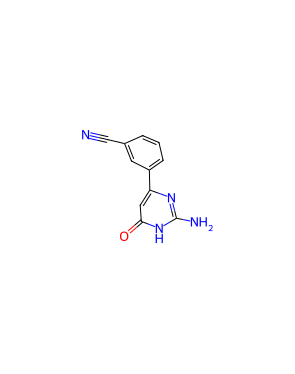 N#Cc1cccc(-c2cc(=O)[nH]c(N)n2)c1